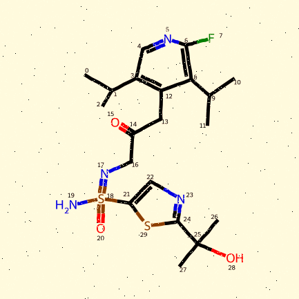 CC(C)c1cnc(F)c(C(C)C)c1CC(=O)CN=S(N)(=O)c1cnc(C(C)(C)O)s1